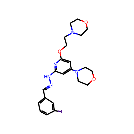 Ic1cccc(C=NNc2cc(N3CCOCC3)cc(OCCN3CCOCC3)n2)c1